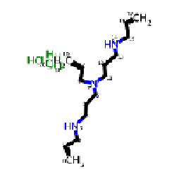 C=CCNCCCN(CC=C)CCCNCC=C.Cl.Cl.Cl